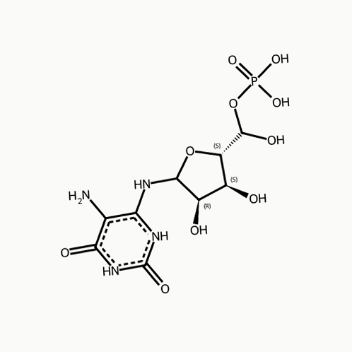 Nc1c(NC2O[C@H](C(O)OP(=O)(O)O)[C@@H](O)[C@H]2O)[nH]c(=O)[nH]c1=O